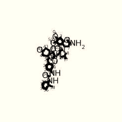 COc1ccc(C(CC(N)=O)NC(=O)[C@H](CC(C)C)N2C(=O)N(Cc3ccc(NC(=O)Nc4ccccc4C)cc3)C3(CCC(=O)CC3)C2=O)cc1OC